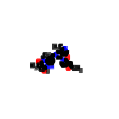 CCN1C(=O)C(C)(C)C(=O)Nc2ccc(CN(CCn3ccc4oc(C)cc4c3=O)Cc3cccnc3C)cc21